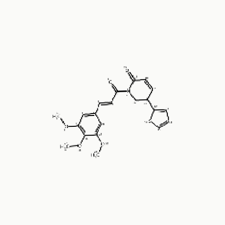 COc1cc(/C=C/C(=O)N2CC(c3cccs3)C=CC2=O)cc(OC)c1OC